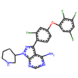 Nc1ncnc2c1c(-c1ccc(Oc3cc(F)cc(F)c3F)cc1F)nn2C1CCCNC1